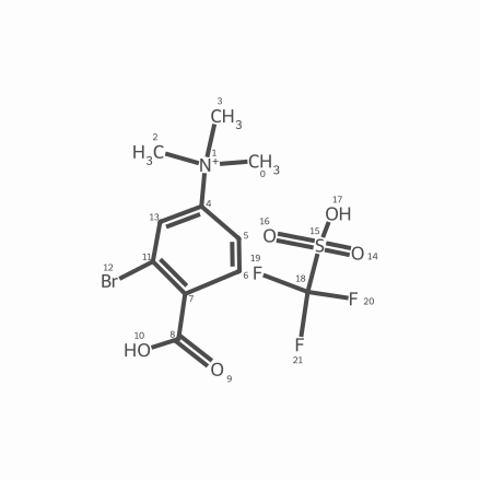 C[N+](C)(C)c1ccc(C(=O)O)c(Br)c1.O=S(=O)(O)C(F)(F)F